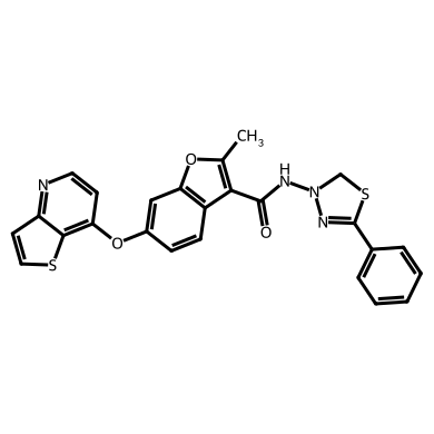 Cc1oc2cc(Oc3ccnc4ccsc34)ccc2c1C(=O)NN1CSC(c2ccccc2)=N1